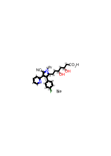 CC(C)n1c(C#N)c(-c2ccccn2)c(-c2ccc(F)cc2)c1CC[C@@H](O)C[C@@H](O)CC(=O)O.[Na]